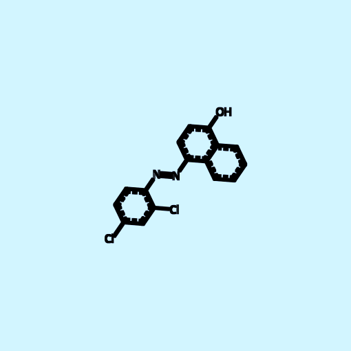 Oc1ccc(/N=N/c2ccc(Cl)cc2Cl)c2ccccc12